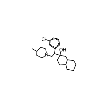 CC1CCN(CC(c2cccc(Cl)c2)C2(O)CCC3CCCCC3C2)CC1